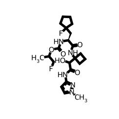 CC(CF)OC(=O)N[C@@H](CC1(F)CCCC1)C(=O)NC1(C(O)C(=O)Nc2ccn(C)n2)CCC1